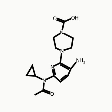 CC(=O)N(c1ccc(N)c(N2CCN(C(=O)O)CC2)n1)C1CC1